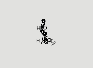 CC1(C)OB(c2ccc3c(c2)CCC(NC(=O)OCc2ccccc2)C3)OC1(C)C